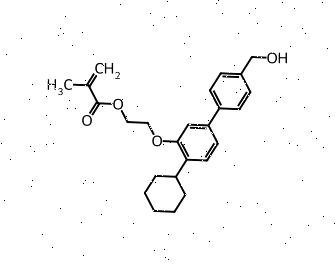 C=C(C)C(=O)OCCOc1cc(-c2ccc(CO)cc2)ccc1C1CCCCC1